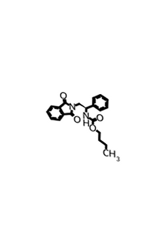 CCCCOC(=O)N[C@@H](CN1C(=O)c2ccccc2C1=O)c1ccccc1